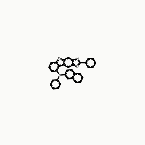 c1ccc(-c2nc3cc4oc5cccc(N(c6ccccc6)c6ccc7ccccc7c6)c5c4cc3o2)cc1